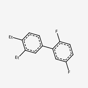 CCc1ccc(-c2cc(F)ccc2F)cc1CC